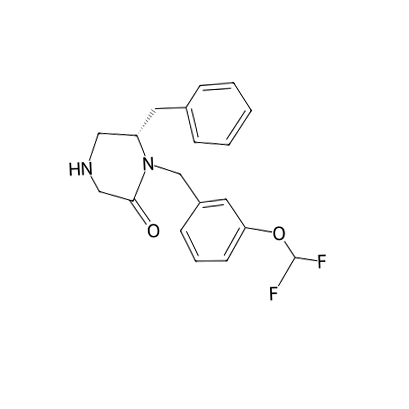 O=C1CNC[C@H](Cc2ccccc2)N1Cc1cccc(OC(F)F)c1